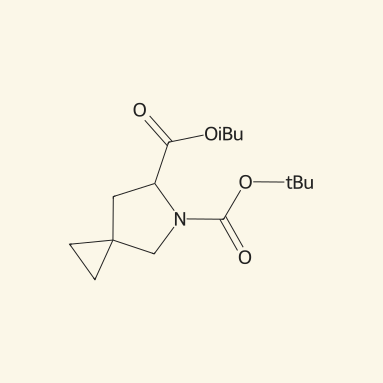 CC(C)COC(=O)C1CC2(CC2)CN1C(=O)OC(C)(C)C